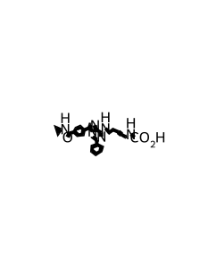 O=C(O)NCC#CCCNc1nc(-c2ccccc2)cn2c(-c3ccc(C(=O)NC4CC4)cc3)cnc12